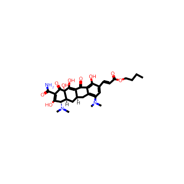 CCCCOC(=O)/C=C/c1cc(N(C)C)c2c(c1O)C(=O)C1=C(O)[C@]3(O)C(=O)C(C(N)=O)=C(O)[C@@H](N(C)C)[C@@H]3C[C@@H]1C2